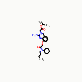 CCCCN(C(=O)COc1cccc2c1N=C(N)N(CC(=O)OC(C)C)C2)C1CCCCC1